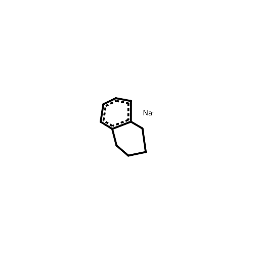 [Na].c1ccc2c(c1)CCCC2